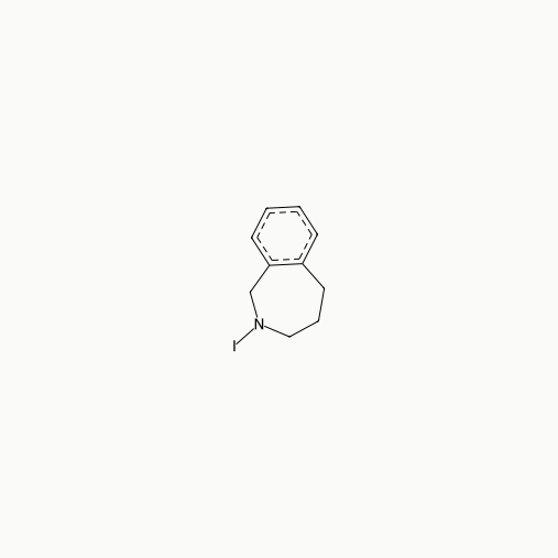 IN1CCCc2ccccc2C1